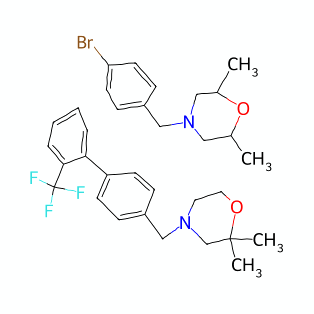 CC1(C)CN(Cc2ccc(-c3ccccc3C(F)(F)F)cc2)CCO1.CC1CN(Cc2ccc(Br)cc2)CC(C)O1